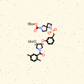 CO[C@@H]1CN(C(=O)c2cc(C)ccc2C)C[C@H]1Oc1cccc(CS(=O)(=O)N2CCC23CCN(C(=O)OC(C)(C)C)C3)c1